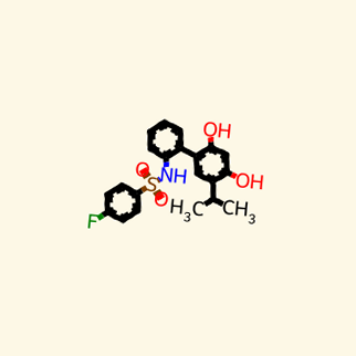 CC(C)c1cc(-c2ccccc2NS(=O)(=O)c2ccc(F)cc2)c(O)cc1O